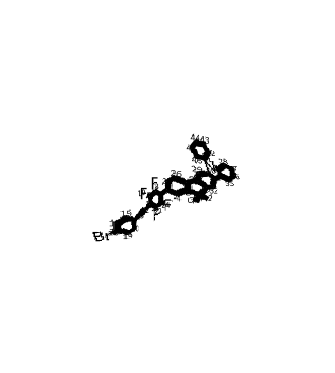 CC1(C)c2cc(-c3c(F)c(F)c(C#Cc4ccc(Br)cc4)c(F)c3F)ccc2-c2cc3c(cc21)c1ccccc1n3-c1ccccc1